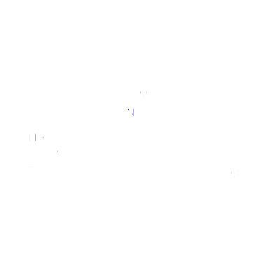 CC1(C)CC=C(c2ccc(CC=O)cc2[N+](=O)[O-])CC1